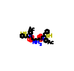 CC(=O)c1ccc(N(OC(=O)CC[C@H](N)C(=O)ON(C(=O)C(CS)Cc2ccccc2)c2ccc(C(C)=O)cc2)C(=O)C(CS)Cc2ccccc2)cc1